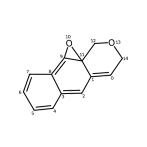 C1=C2C=c3ccccc3=C3OC23COC1